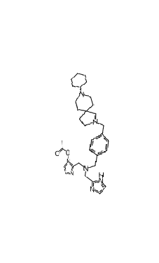 CC(=O)On1ccnc1CN(Cc1ccc(CN2CCC3(CCN(C4CCCCC4)CC3)C2)cc1)Cc1ncc[nH]1